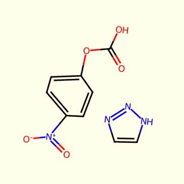 O=C(O)Oc1ccc([N+](=O)[O-])cc1.c1c[nH]nn1